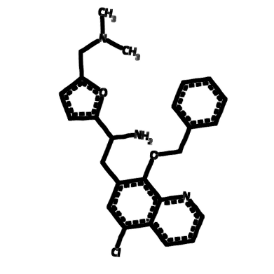 CN(C)Cc1ccc(C(N)Cc2cc(Cl)c3cccnc3c2OCc2ccccc2)o1